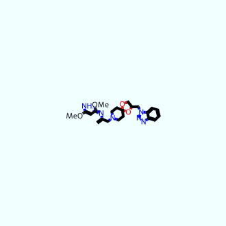 C=C(CN1CCC2(CC1)OCC(Cn1nnc3ccccc31)O2)/N=C(\C=C(/N)OC)OC